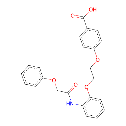 O=C(COc1ccccc1)Nc1ccccc1OCCOc1ccc(C(=O)O)cc1